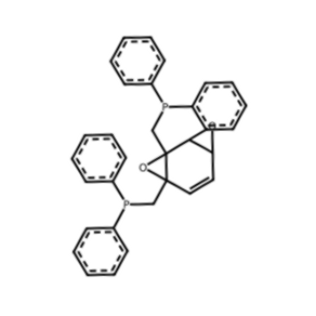 C1=CC2(CP(c3ccccc3)c3ccccc3)OC2(CP(c2ccccc2)c2ccccc2)C2OC12